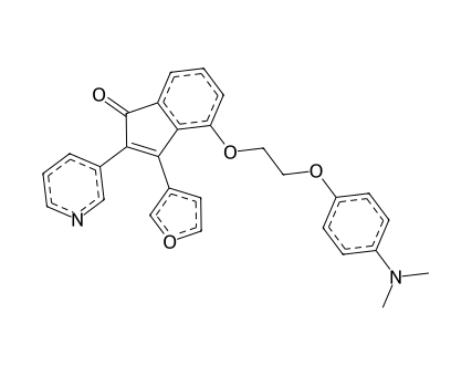 CN(C)c1ccc(OCCOc2cccc3c2C(c2ccoc2)=C(c2cccnc2)C3=O)cc1